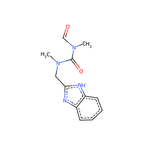 CN([C]=O)C(=O)N(C)Cc1nc2ccccc2[nH]1